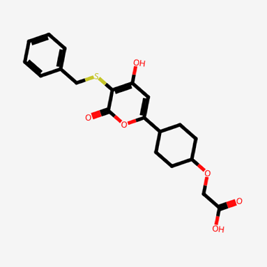 O=C(O)COC1CCC(c2cc(O)c(SCc3ccccc3)c(=O)o2)CC1